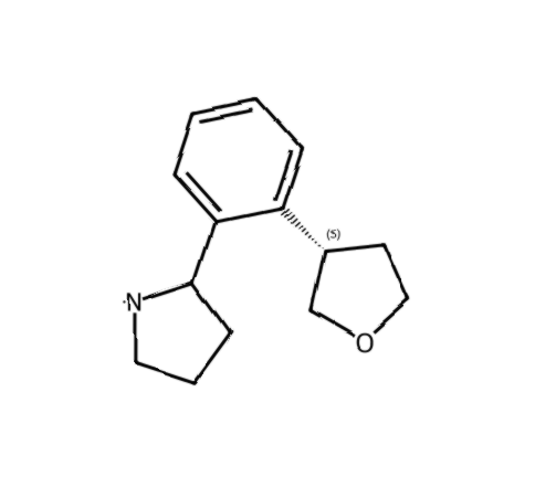 c1ccc([C@@H]2CCOC2)c(C2CCC[N]2)c1